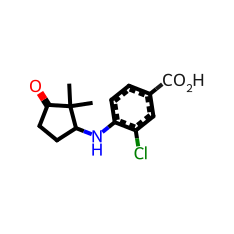 CC1(C)C(=O)CCC1Nc1ccc(C(=O)O)cc1Cl